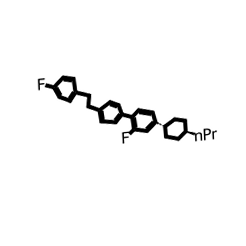 CCC[C@H]1CC[C@H](c2ccc(-c3ccc(CCc4ccc(F)cc4)cc3)c(F)c2)CC1